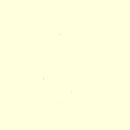 CCC(C)(I)C(=O)OC1(C(C)(C)CCC2CCCC2(OC(=O)C(C)(I)CC)C(C)(C)C)CCCC1